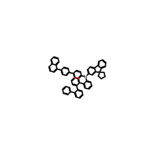 c1ccc(-c2ccccc2-c2ccccc2-c2ccccc2N(c2ccc(-c3ccc(-c4cccc5ccccc45)cc3)cc2)c2ccc3c(c2)C2(CCCC2)c2ccccc2-3)cc1